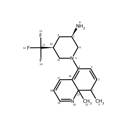 CC1C=CC(N2C[C@H](N)C[C@H](C(F)(F)F)C2)=C2C=CC=NC21C